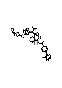 Cc1ncsc1-c1ccc(C(C)NC(=O)C2CCCN2C(=O)C(c2cc(OC3CN(C=O)C3)no2)C(C)C)cc1